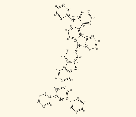 c1ccc(-c2nc(-c3ccccc3)nc(-c3ccc4c(c3)oc3cc(-n5c6ccccc6c6c7c8ccccc8n(-c8ccccc8)c7ccc65)ccc34)n2)cc1